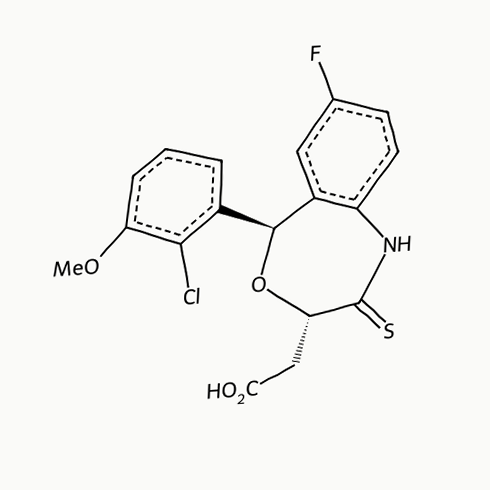 COc1cccc([C@@H]2O[C@@H](CC(=O)O)C(=S)Nc3ccc(F)cc32)c1Cl